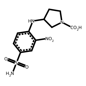 NS(=O)(=O)c1ccc(NC2CCN(C(=O)O)C2)c([N+](=O)[O-])c1